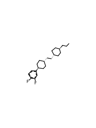 CCC[C@H]1CC[C@H](CC[C@H]2CC[C@H](c3ccc(F)c(F)c3)CC2)CC1